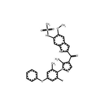 COc1cc2cc(C(=O)c3cnn(-c4c(C)cc(Oc5ccccc5)cc4F)c3N)[nH]c2cc1NS(C)(=O)=O